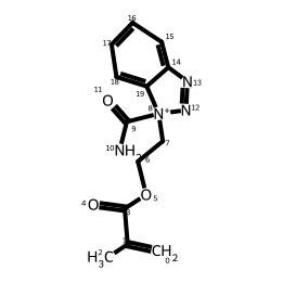 C=C(C)C(=O)OCC[N+]1(C(N)=O)N=Nc2ccccc21